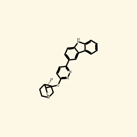 c1ccc2c(c1)[nH]c1ccc(-c3ccc(O[C@H]4CN5CCC4CC5)nn3)cc12